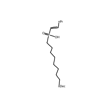 CCCC=CP(=O)(O)CCCCCCCCCCCCCCCCCC